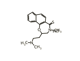 CN(C)CCC1CN(C)C(=S)c2ccc3ccccc3c2O1.Cl